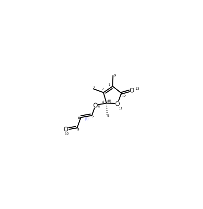 CC1=C(C)[C@](C)(O/C=C/C=O)OC1=O